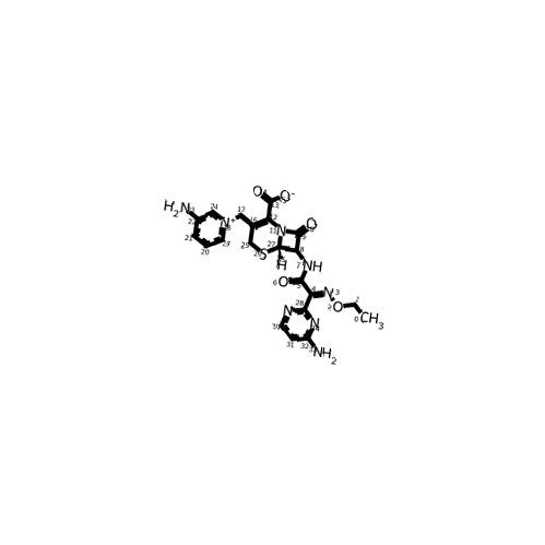 CCON=C(C(=O)NC1C(=O)N2C(C(=O)[O-])=C(C[n+]3cccc(N)c3)CS[C@@H]12)c1nccc(N)n1